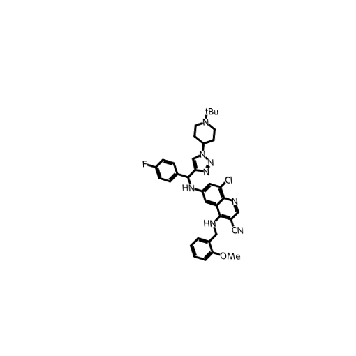 COc1ccccc1CNc1c(C#N)cnc2c(Cl)cc(NC(c3ccc(F)cc3)c3cn(C4CCN(C(C)(C)C)CC4)nn3)cc12